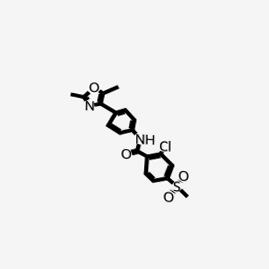 Cc1nc(-c2ccc(NC(=O)c3ccc(S(C)(=O)=O)cc3Cl)cc2)c(C)o1